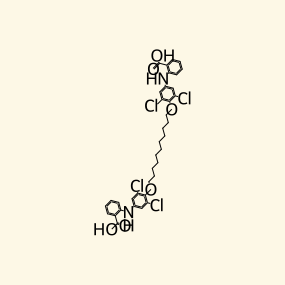 O=C(O)c1ccccc1Nc1cc(Cl)c(OCCCCCCCCCCCOc2c(Cl)cc(Nc3ccccc3C(=O)O)cc2Cl)c(Cl)c1